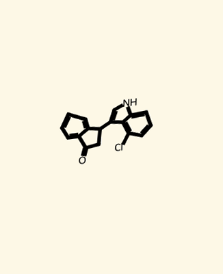 O=C1CC(c2c[nH]c3cccc(Cl)c23)c2ccccc21